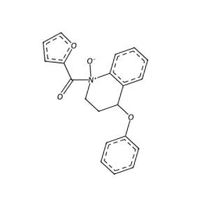 O=C(c1ccco1)[N+]1([O-])CCC(Oc2ccccc2)c2ccccc21